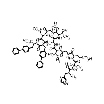 C[C@H](NC(=O)[C@@H](NC(=O)CNC(=O)[C@H](CCC(=O)O)NC(=O)C(C)(C)NC(=O)[C@@H](N)Cc1c[nH]cn1)[C@@H](C)O)C(=O)N[C@H](C(=O)N[C@@H](CO)C(=O)N[C@@H](CC(=O)O)C(=O)N[C@@H](Cc1ccc(-c2ccccc2)cc1)C(=O)N[C@@H](Cc1ccc(-c2ccccc2)cc1)C(=O)O)[C@@H](C)O